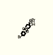 CCCNCC1(O)CCN(S(=O)(=O)c2ccc(Br)cc2)CC1